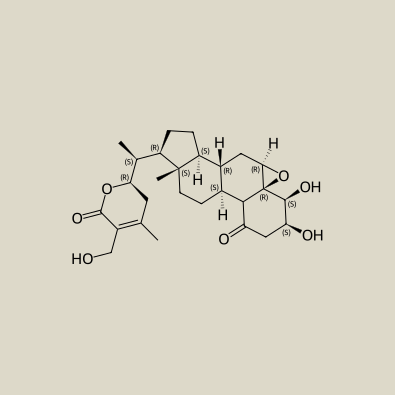 CC1=C(CO)C(=O)O[C@@H]([C@@H](C)[C@H]2CC[C@H]3[C@@H]4C[C@H]5O[C@@]56C(C(=O)C[C@H](O)[C@@H]6O)[C@H]4CC[C@]23C)C1